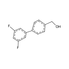 OCc1ccc(-c2cc(F)cc(F)c2)cc1